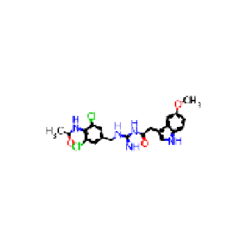 COc1ccc2[nH]cc(CC(=O)NC(=N)NCc3cc(Cl)c(NC(C)=O)c(Cl)c3)c2c1